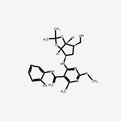 C=C(Nc1ccccc1S)c1c(C)nc(SC)nc1N[C@@H]1C[C@H](CO)[C@H]2OC(C)(C)O[C@H]21